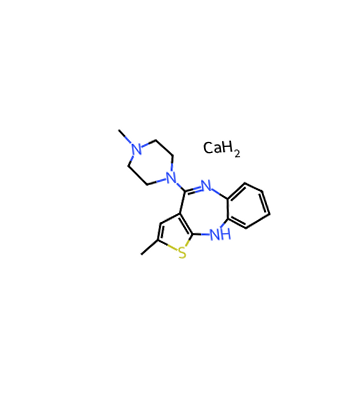 Cc1cc2c(s1)Nc1ccccc1N=C2N1CCN(C)CC1.[CaH2]